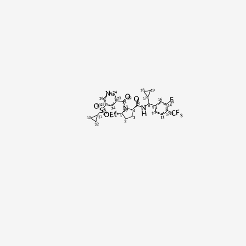 CC[C@@H]1CC[C@H](C(=O)NC(c2ccc(C(F)(F)F)c(F)c2)C2CC2)N1C(=O)c1cncc(S(=O)(=O)C2CC2)c1